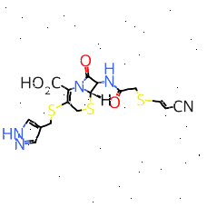 N#CC=CSCC(=O)N[C@@H]1C(=O)N2C(C(=O)O)=C(SCc3cn[nH]c3)CS[C@@H]12